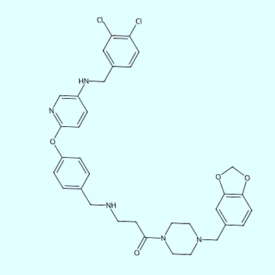 O=C(CCNCc1ccc(Oc2ccc(NCc3ccc(Cl)c(Cl)c3)cn2)cc1)N1CCN(Cc2ccc3c(c2)OCO3)CC1